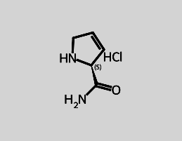 Cl.NC(=O)[C@@H]1C=CCN1